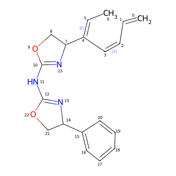 C=C/C=C\C(=C/C)C1COC(NC2=NC(c3ccccc3)CO2)=N1